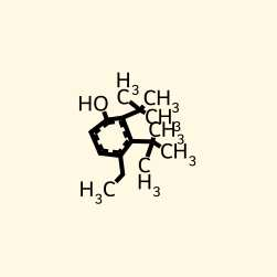 CCc1ccc(O)c(C(C)(C)C)c1C(C)(C)C